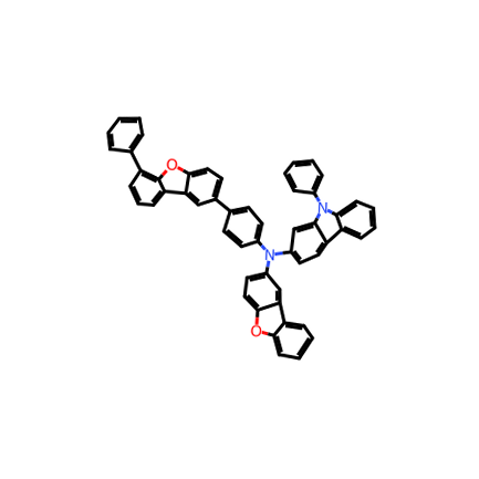 c1ccc(-c2cccc3c2oc2ccc(-c4ccc(N(c5ccc6oc7ccccc7c6c5)c5ccc6c7ccccc7n(-c7ccccc7)c6c5)cc4)cc23)cc1